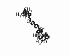 Cc1cc(C)n2c1C=C1C=CC(CCC(=O)N3CCN(C4CCN(Cc5ccc(Nc6ncc7c(n6)N(C)c6c(F)cccc6C(=O)N7C)cc5C(F)(F)F)CC4)CC3)=[N+]1[B-]2(F)F